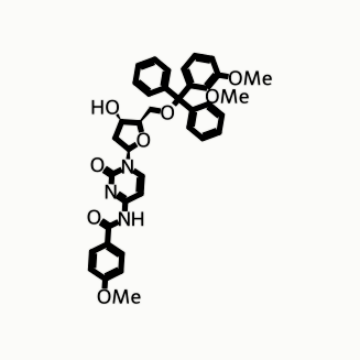 COc1ccc(C(=O)Nc2ccn([C@H]3C[C@H](O)[C@@H](COC(c4ccccc4)(c4ccccc4)c4cccc(OC)c4OC)O3)c(=O)n2)cc1